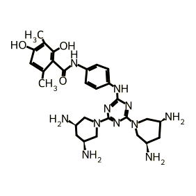 Cc1cc(O)c(C)c(O)c1C(=O)Nc1ccc(Nc2nc(N3C[C@H](N)C[C@H](N)C3)nc(N3C[C@H](N)C[C@H](N)C3)n2)cc1